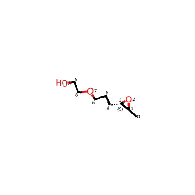 CC1O[C@H]1CCCOCCO